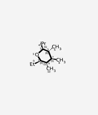 CC[C@H]1O[C@@H](C(C)C)[C@H](C)[C@@H](C)[C@@H]1C